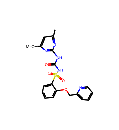 COc1cc(C)nc(NC(=O)NS(=O)(=O)c2ccccc2OCc2ccccn2)n1